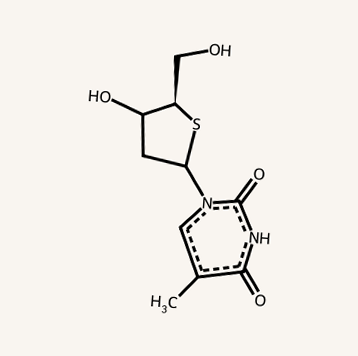 Cc1cn(C2CC(O)[C@@H](CO)S2)c(=O)[nH]c1=O